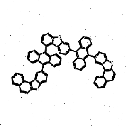 c1ccc2c(c1)ccc1oc3ccc(-c4c5ccccc5c(-c5ccc6c(c5)oc5cccc(-c7c8ccccc8c(-c8ccc9oc%10ccc%11ccccc%11c%10c9c8)c8ccccc78)c56)c5ccccc45)cc3c12